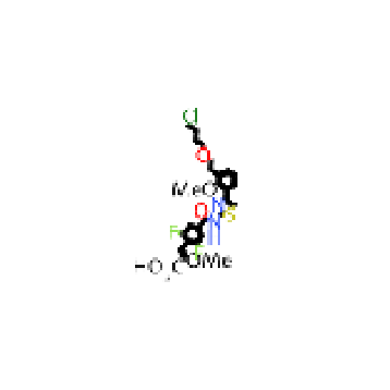 CO/C(=C\c1c(F)cc(C(=O)Nc2nc(-c3cccc(CCOCCCCCl)c3OC)cs2)cc1F)C(=O)O